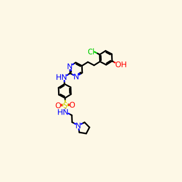 O=S(=O)(NCCN1CCCC1)c1ccc(Nc2ncc(CCc3cc(O)ccc3Cl)cn2)cc1